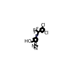 OCc1cc(/C=C/C(c2cc(Cl)cc(Cl)c2)C(F)(F)F)ccc1-n1cncn1